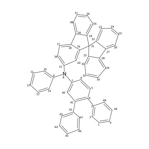 c1ccc(-c2ccc(N(c3ccccc3)c3ccc4c(c3)C3(c5ccccc5-c5ccccc53)c3ccccc3-4)cc2-c2ccccc2)cc1